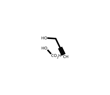 C#CCO.O=C(O)O